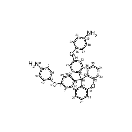 Nc1ccc(Oc2ccc(C3(c4ccc(Oc5ccc(N)cc5)cc4)c4ccccc4Oc4ccccc43)cc2)cc1